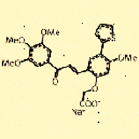 COc1cc(OCC(=O)[O-])c(C=CC(=O)c2cc(OC)c(OC)c(OC)c2)cc1-c1cccs1.[Na+]